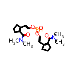 CN(C)C(=O)C1=C(/C=C/O[PH](=O)O/C=C/C2=C(C(=O)N(C)C)CCC2)CCC1